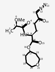 CO[C@H](C)C(=O)N[C@@H](CCC(=O)C=[N+]=[N-])C(=O)O[C@H]1CCCOCC1